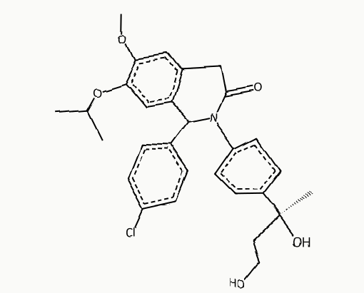 COc1cc2c(cc1OC(C)C)C(c1ccc(Cl)cc1)N(c1ccc([C@@](C)(O)CCO)cc1)C(=O)C2